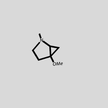 COC12CCN(C)C1C2